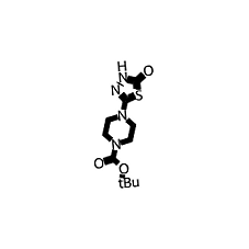 CC(C)(C)OC(=O)N1CCN(c2n[nH]c(=O)s2)CC1